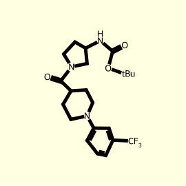 CC(C)(C)OC(=O)NC1CCN(C(=O)C2CCN(c3cccc(C(F)(F)F)c3)CC2)C1